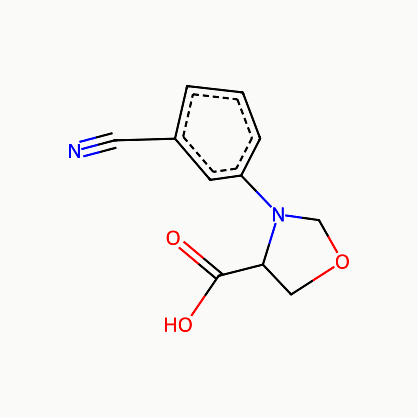 N#Cc1cccc(N2COCC2C(=O)O)c1